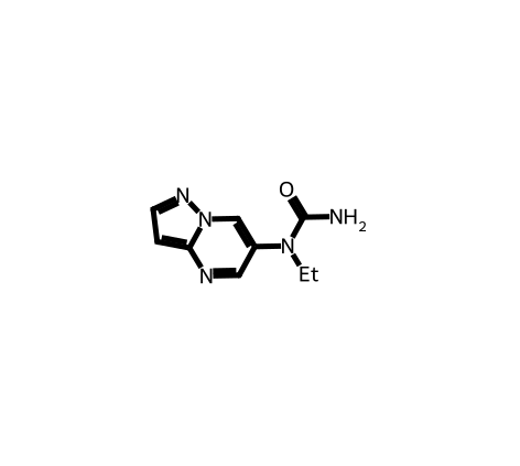 CCN(C(N)=O)c1cnc2ccnn2c1